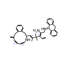 C=C/C(=C(/N)CNN1c2ccccc2Cc2ccccc21)C(C)(C)/C(C)=C/C1Cc2ccccc2CC(=C)/C=C\C=C/N1